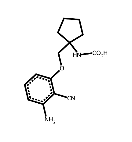 N#Cc1c(N)cccc1OCC1(NC(=O)O)CCCC1